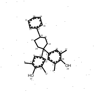 Cc1cc(C2(c3cc(C)c(O)c(C)c3)CCC(c3ccccc3)CC2)cc(C)c1O